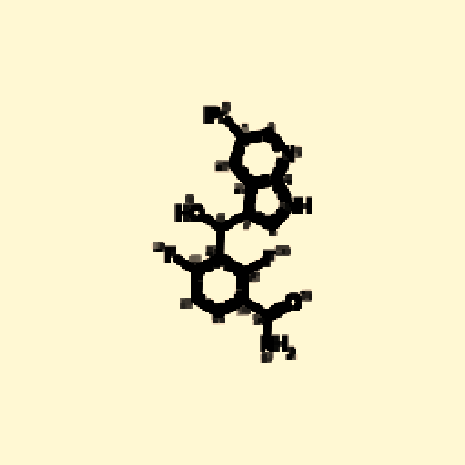 CC(C)c1cnc2[nH]cc(C(O)c3c(F)ccc(C(N)=O)c3F)c2c1